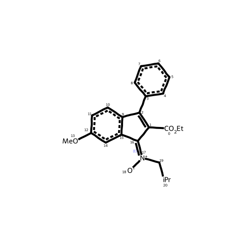 CCOC(=O)C1=C(c2ccccc2)c2ccc(OC)cc2/C1=[N+](\[O-])CC(C)C